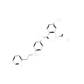 CC(=O)N(C)c1cc(C)ccc1C(=O)Nc1ccc(NCCc2ccccn2)cc1